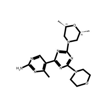 Cc1nc(N)ncc1-c1nc(N2CCOCC2)nc(N2C[C@@H](C)O[C@@H](C)C2)n1